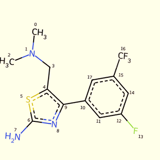 CN(C)Cc1sc(N)nc1-c1cc(F)cc(C(F)(F)F)c1